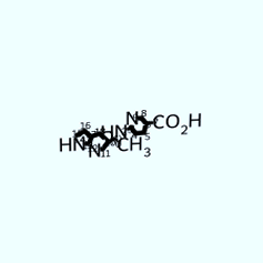 C[C@H](Nc1ccc(C(=O)O)cn1)c1cnc2[nH]ccc2c1